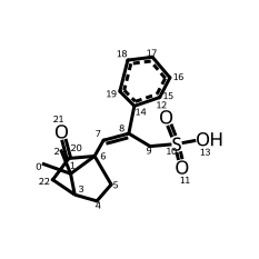 CC1(C)C2CCC1(C=C(CS(=O)(=O)O)c1ccccc1)C(=O)C2